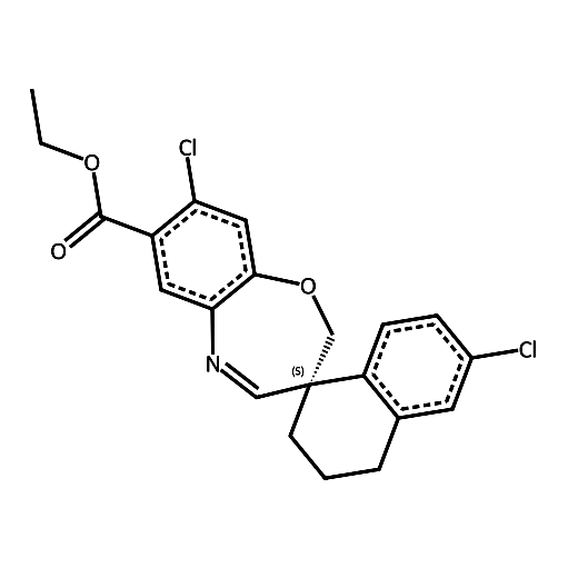 CCOC(=O)c1cc2c(cc1Cl)OC[C@@]1(C=N2)CCCc2cc(Cl)ccc21